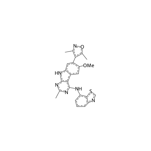 COc1cc2c(cc1-c1c(C)noc1C)[nH]c1nc(C)nc(Nc3cccc4ncsc34)c12